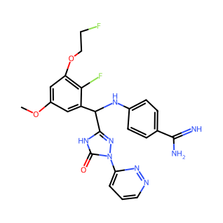 COc1cc(OCCF)c(F)c(C(Nc2ccc(C(=N)N)cc2)c2nn(-c3cccnn3)c(=O)[nH]2)c1